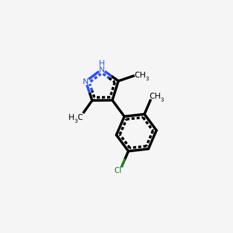 Cc1ccc(Cl)cc1-c1c(C)n[nH]c1C